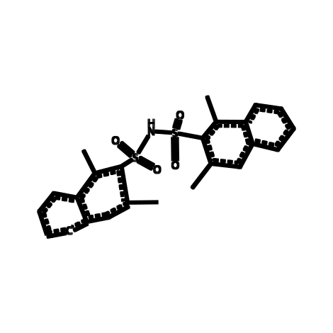 Cc1cc2ccccc2c(C)c1S(=O)(=O)NS(=O)(=O)c1c(C)cc2ccccc2c1C